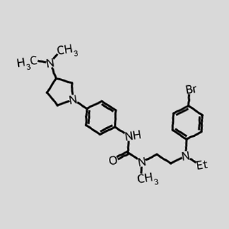 CCN(CCN(C)C(=O)Nc1ccc(N2CCC(N(C)C)C2)cc1)c1ccc(Br)cc1